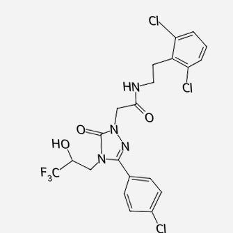 O=C(Cn1nc(-c2ccc(Cl)cc2)n(CC(O)C(F)(F)F)c1=O)NCCc1c(Cl)cccc1Cl